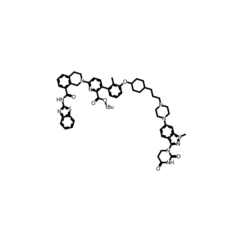 Cc1c(OC2CCC(CCCN3CCN(c4ccc5c(N6CCC(=O)NC6=O)nn(C)c5c4)CC3)CC2)cccc1-c1ccc(N2CCc3cccc(C(=O)Nc4nc5ccccc5s4)c3C2)nc1C(=O)OC(C)(C)C